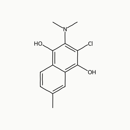 Cc1ccc2c(O)c(N(C)C)c(Cl)c(O)c2c1